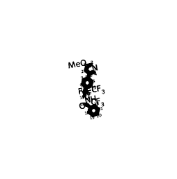 COc1cncc(-c2ccc(C(F)(F)CNC(=O)c3ccccc3C(F)(F)F)c(C(F)(F)F)c2)c1